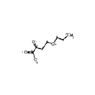 CCCOCCC(=O)C(=O)Cl